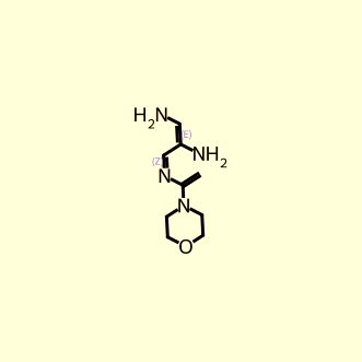 C=C(/N=C\C(N)=C/N)N1CCOCC1